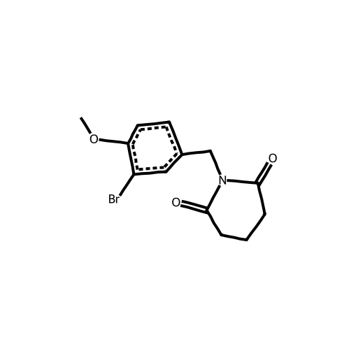 COc1ccc(CN2C(=O)CCCC2=O)cc1Br